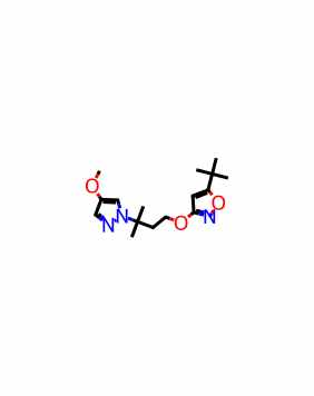 COc1cnn(C(C)(C)CCOc2cc(C(C)(C)C)on2)c1